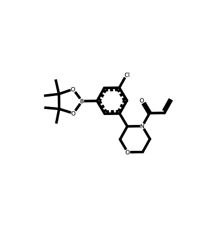 C=CC(=O)N1CCOCC1c1cc(Cl)cc(B2OC(C)(C)C(C)(C)O2)c1